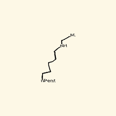 CCCCCCCCCCNCC(C)=O